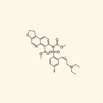 CCN(CC)C/C=C\c1cc(F)ccc1S(=O)(=O)N(C(=O)OC)c1ccc2c3c(cnc2c1C(=O)OC)OCC3